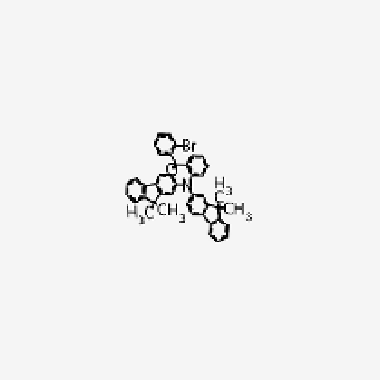 CC1(C)c2ccccc2-c2ccc(N(c3ccc4c(c3)C(C)(C)c3ccccc3-4)c3ccccc3C(=O)c3ccccc3Br)cc21